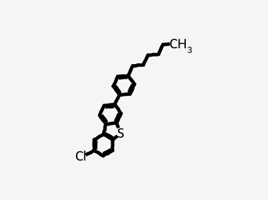 CCCCCCc1ccc(-c2ccc3c(c2)sc2ccc(Cl)cc23)cc1